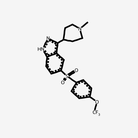 CN1CCC(c2n[nH]c3ccc(S(=O)(=O)c4ccc(OC(F)(F)F)cc4)cc23)CC1